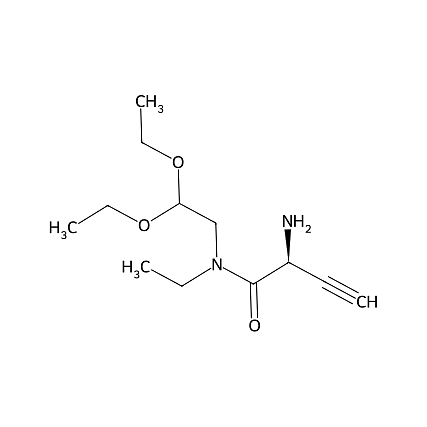 C#C[C@H](N)C(=O)N(CC)CC(OCC)OCC